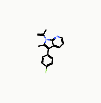 C=C(C)n1c(C)c(-c2ccc(F)cc2)c2cccnc21